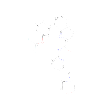 O=C(Nc1cccc(CN2CCOCC2)n1)c1ccc2cccc(-c3cccc(OC(F)F)c3)c2n1